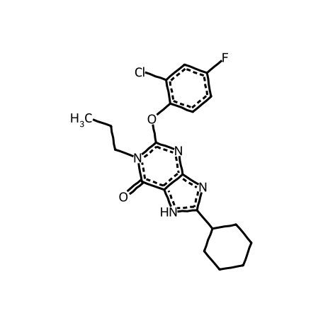 CCCn1c(Oc2ccc(F)cc2Cl)nc2nc(C3CCCCC3)[nH]c2c1=O